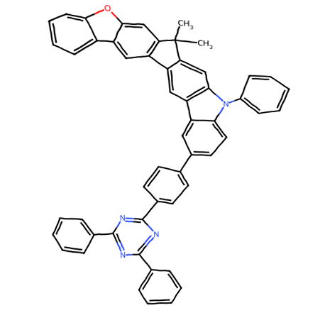 CC1(C)c2cc3oc4ccccc4c3cc2-c2cc3c4cc(-c5ccc(-c6nc(-c7ccccc7)nc(-c7ccccc7)n6)cc5)ccc4n(-c4ccccc4)c3cc21